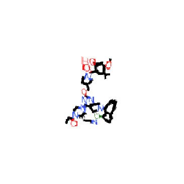 C=CC(=O)N1CCN(c2nc(OCC3CCN(C(=O)c4cc(C(C)C)c(OC)cc4O)C3)nc3c2CCN(c2cccc4cccc(Cl)c24)C3)C[C@@H]1CC#N